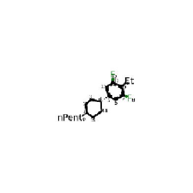 CCCCC[C@H]1CC[C@H](c2cc(F)c(CC)c(F)c2)CC1